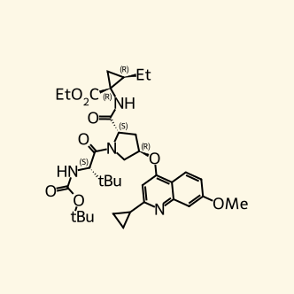 CCOC(=O)[C@@]1(NC(=O)[C@@H]2C[C@@H](Oc3cc(C4CC4)nc4cc(OC)ccc34)CN2C(=O)[C@@H](NC(=O)OC(C)(C)C)C(C)(C)C)C[C@H]1CC